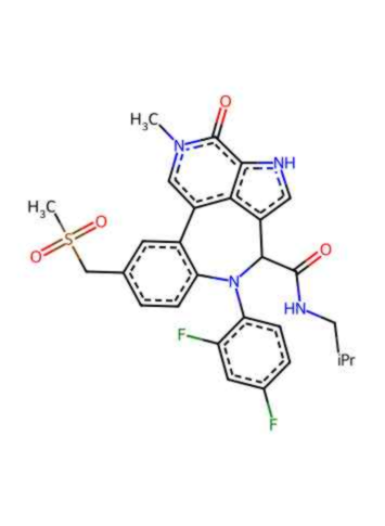 CC(C)CNC(=O)C1c2c[nH]c3c(=O)n(C)cc(c23)-c2cc(CS(C)(=O)=O)ccc2N1c1ccc(F)cc1F